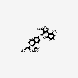 COC(=O)[C@H]1c2ccc(OCc3c(-c4c(C)cccc4Cl)noc3C)cc2CCN1C(=O)OC(C)(C)C